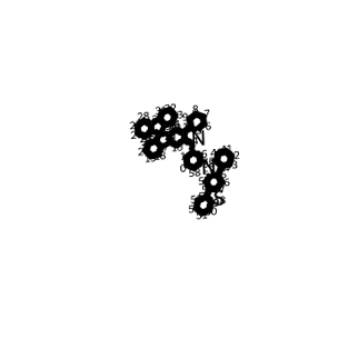 c1cc(-c2nc3ccccc3c3cc4c(cc23)-c2ccccc2C42c3ccccc3-c3ccccc32)cc(-n2c3ccccc3c3cc4sc5ccccc5c4cc32)c1